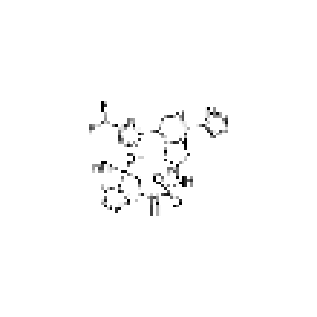 CCCC(O)(CC(C)NS(=O)(=O)N[C@H]1CC2=C(c3ccn(C(F)F)n3)CN=C(c3nccs3)N2C1)c1nccs1